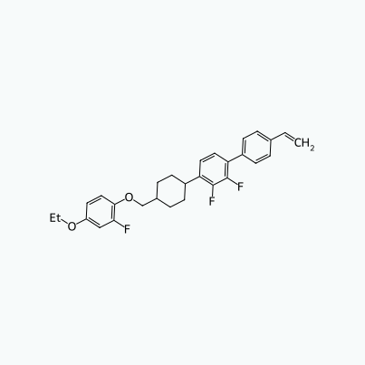 C=Cc1ccc(-c2ccc(C3CCC(COc4ccc(OCC)cc4F)CC3)c(F)c2F)cc1